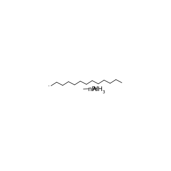 CCCC.[AlH3].[CH2]CCCCCCCCCCCC